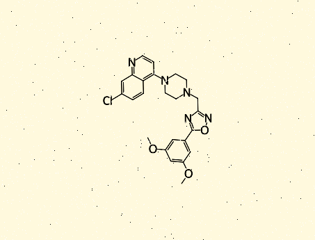 COc1cc(OC)cc(-c2nc(CN3CCN(c4ccnc5cc(Cl)ccc45)CC3)no2)c1